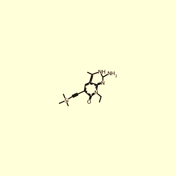 CCn1c(=O)c(C#C[Si](C)(C)C)cc2c1=NC(N)NC=2C